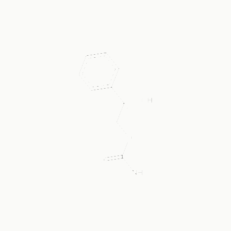 NC(=O)OC[C@@H](O)c1ccccc1